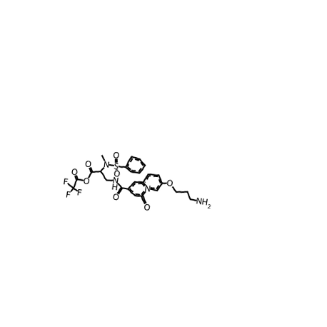 CN(C(CNC(=O)c1cc(=O)n2cc(OCCCN)ccc2c1)C(=O)OC(=O)C(F)(F)F)S(=O)(=O)c1ccccc1